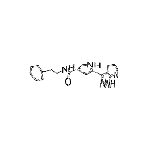 O=C(NCCc1ccccc1)c1c[nH]c(-c2n[nH]c3ncccc23)c1